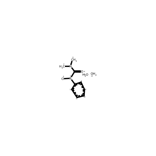 CN(C)C(=O)B(Cl)c1ccccc1.O.O